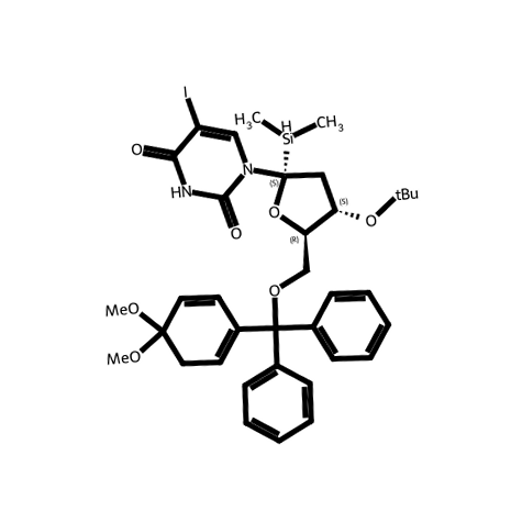 COC1(OC)C=CC(C(OC[C@H]2O[C@](n3cc(I)c(=O)[nH]c3=O)([SiH](C)C)C[C@@H]2OC(C)(C)C)(c2ccccc2)c2ccccc2)=CC1